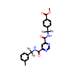 [2H]C([2H])(NC(=O)c1cc(C(=O)NC([2H])([2H])c2cccc(C)c2)ncn1)c1ccc(C(=O)OC)cc1